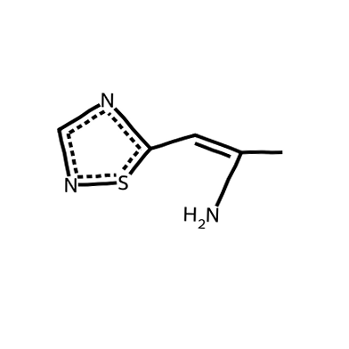 CC(N)=Cc1ncns1